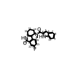 CN(C(=O)c1cc2ccccc2[nH]1)[C@H]1CCCc2[nH]c(=O)c3cc(F)ccc3c21